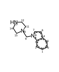 c1ccc2c(c1)ccn2CN1CCNCC1